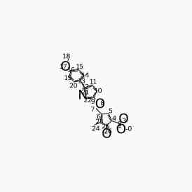 COC(=O)C1=CC(COc2ccc(-c3ccc(OC)cc3)nc2)=C(C)C1=O